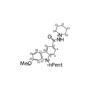 CCCCCn1c2ccc(C(=O)NN3CCCCC3)cc2c2ccc(OC)cc21